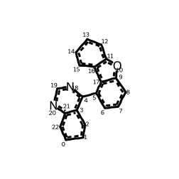 c1ccc2c(-c3cccc4oc5ccccc5c34)ncnc2c1